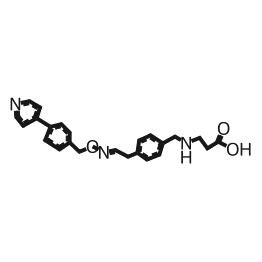 O=C(O)CCNCc1ccc(CC=NOCc2ccc(-c3ccncc3)cc2)cc1